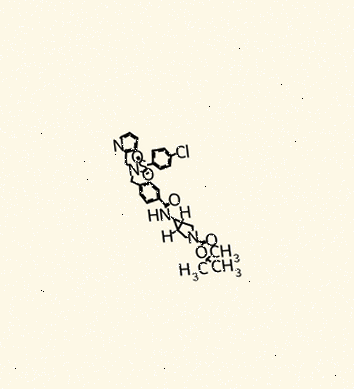 CC(C)(C)OC(=O)N1C[C@@H]2[C@H](C1)[C@H]2NC(=O)c1ccc(CN(Cc2ccccn2)S(=O)(=O)c2ccc(Cl)cc2)cc1